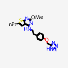 CCCc1cc2c(NCCc3ccc(OCc4nnn[nH]4)cc3)nc(OC)nc2s1